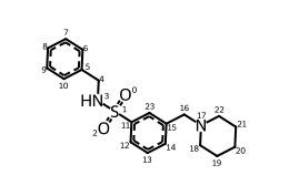 O=S(=O)(NCc1ccccc1)c1cccc(CN2CCCCC2)c1